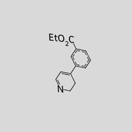 CCOC(=O)c1cccc(C2=CC=NCC2)c1